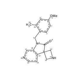 COc1ccc(CN2C(=O)C3(CNC3)c3ccncc32)c(C)c1